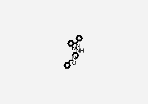 O=C(Cc1ccccc1)N1CCC(Nc2nc(-c3ccccc3)c3ccccc3n2)CC1